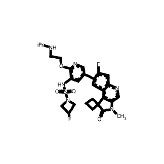 CC(C)NCCOc1ncc(-c2cc3c4c(cnc3cc2F)N(C)C(=O)C42CCC2)cc1NS(=O)(=O)N1CC(F)C1